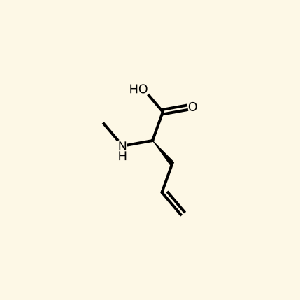 C=CC[C@@H](NC)C(=O)O